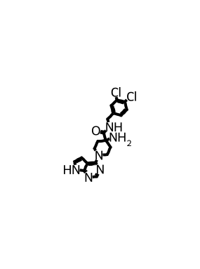 NC1(C(=O)NCc2ccc(Cl)c(Cl)c2)CCN(c2ncnc3[nH]ccc23)CC1